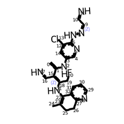 C=C(Nc1cnc(N/N=C\C=N)c(Cl)c1)/C(C=N)=C(\CF)NC1=C(C)CCc2ncccc21